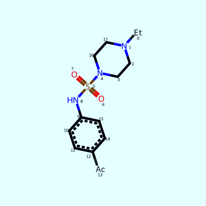 CCN1CCN(S(=O)(=O)Nc2ccc(C(C)=O)cc2)CC1